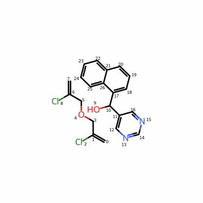 C=C(Cl)COCC(=C)Cl.OC(c1cncnc1)c1cccc2ccccc12